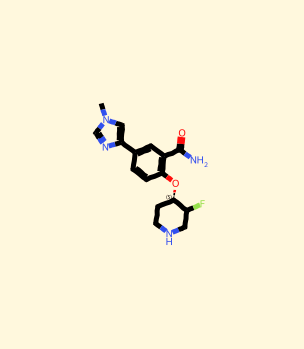 Cn1cnc(-c2ccc(O[C@H]3CCNCC3F)c(C(N)=O)c2)c1